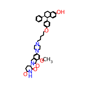 COc1cc(N2CCN(CCCCCOc3ccc([C@@H]4c5ccc(O)cc5CC[C@@H]4c4ccccc4)cc3)CC2)cc2c1C(=O)N([C@H]1CCC(=O)NC1=O)C2